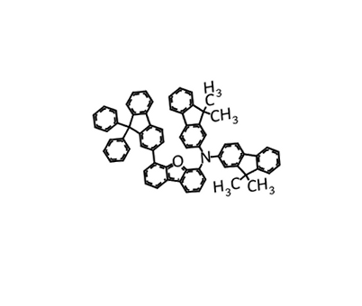 CC1(C)c2ccccc2-c2ccc(N(c3ccc4c(c3)C(C)(C)c3ccccc3-4)c3cccc4c3oc3c(-c5ccc6c(c5)C(c5ccccc5)(c5ccccc5)c5ccccc5-6)cccc34)cc21